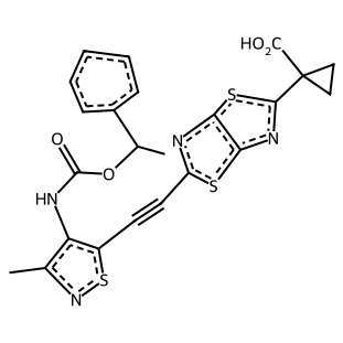 Cc1nsc(C#Cc2nc3sc(C4(C(=O)O)CC4)nc3s2)c1NC(=O)OC(C)c1ccccc1